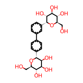 OC[C@H]1O[C@H](c2cccc(-c3ccc([C@H]4O[C@H](CO)[C@@H](O)[C@H](O)[C@@H]4O)cc3)c2)[C@H](O)[C@@H](O)[C@@H]1O